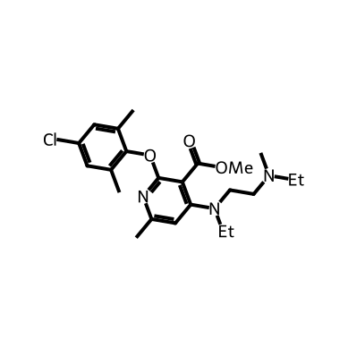 CCN(C)CCN(CC)c1cc(C)nc(Oc2c(C)cc(Cl)cc2C)c1C(=O)OC